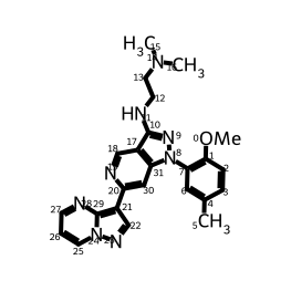 COc1ccc(C)cc1-n1nc(NCCN(C)C)c2cnc(-c3cnn4cccnc34)cc21